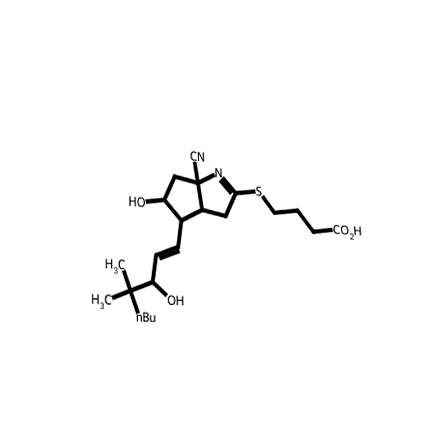 CCCCC(C)(C)C(O)C=CC1C(O)CC2(C#N)N=C(SCCCC(=O)O)CC12